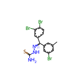 Cc1cc(Br)cc(/C(=N\NC(N)=S)c2ccc(Br)c(Br)c2)c1